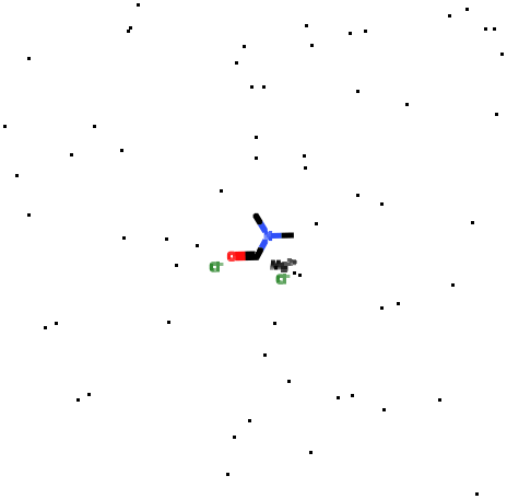 CN(C)C=O.[Cl-].[Cl-].[Mg+2]